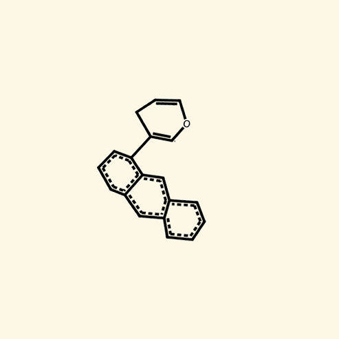 [C]1=C(c2cccc3cc4ccccc4cc23)CC=CO1